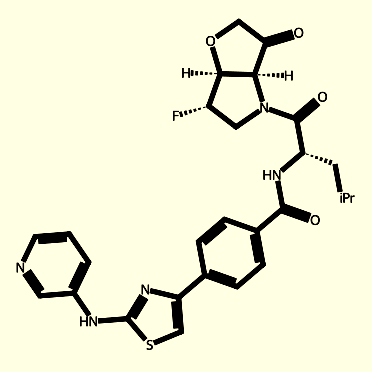 CC(C)C[C@H](NC(=O)c1ccc(-c2csc(Nc3cccnc3)n2)cc1)C(=O)N1C[C@H](F)[C@H]2OCC(=O)[C@H]21